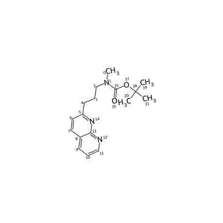 CN(CCCc1ccc2cccnc2n1)C(=O)OC(C)(C)C